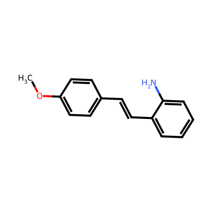 COc1ccc(/C=C/c2ccccc2N)cc1